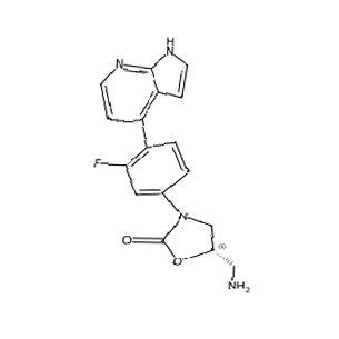 NC[C@H]1CN(c2ccc(-c3ccnc4[nH]ccc34)c(F)c2)C(=O)O1